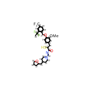 COc1cc(CC(S)C(=O)/N=C/N2CCC(CC3CCCO3)CC2)ccc1OCc1ccc(C(F)(F)F)cc1C(C)(F)F